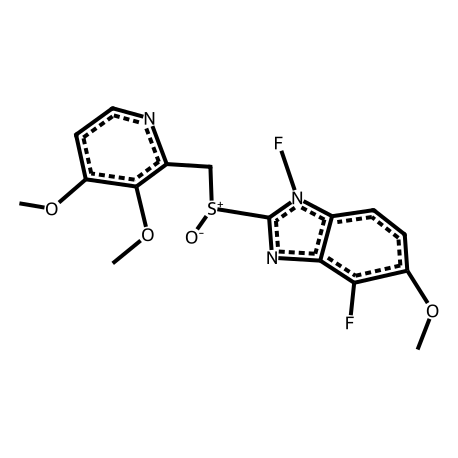 COc1ccnc(C[S+]([O-])c2nc3c(F)c(OC)ccc3n2F)c1OC